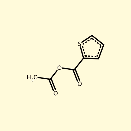 CC(=O)OC(=O)c1cccs1